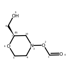 O=CON1CCO[C@@H](CO)C1